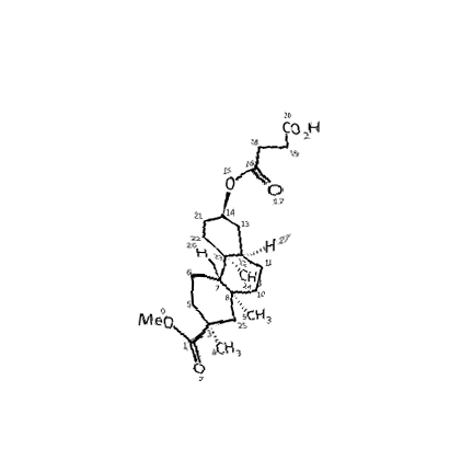 COC(=O)[C@@]1(C)CC[C@H]2[C@@](C)(CC[C@@H]3C[C@H](OC(=O)CCC(=O)O)CC[C@@]32C)C1